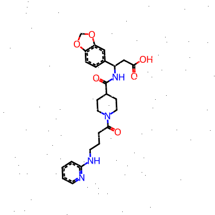 O=C(O)CC(NC(=O)C1CCN(C(=O)CCCNc2ccccn2)CC1)c1ccc2c(c1)OCO2